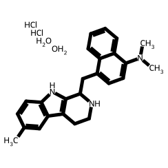 Cc1ccc2[nH]c3c(c2c1)CCNC3Cc1ccc(N(C)C)c2ccccc12.Cl.Cl.O.O